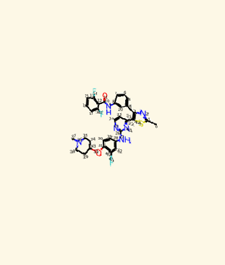 Cc1nc(-c2cccc(NC(=O)c3c(F)cccc3F)c2)c(-c2ccnc(Nc3ccc(OC4CCN(C)CC4)c(F)c3)n2)s1